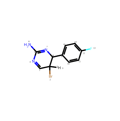 [2H]C1(Br)C=NC(N)=NC1c1ccc(F)cc1